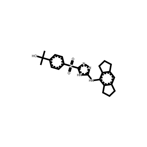 CC(C)(O)c1ccc(S(=O)(=O)c2nnc(Nc3c4c(cc5c3CCC5)CCC4)[nH]2)cc1